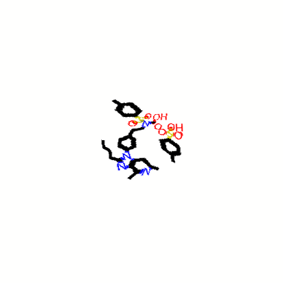 CCCCc1nc2c(C)nc(C)cc2n1-c1ccc(CCN(C(=O)O)S(=O)(=O)c2ccc(C)cc2)cc1.Cc1ccc(S(=O)(=O)O)cc1